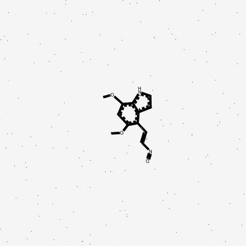 COc1cc(OC)c2[nH]ccc2c1/C=C/N=O